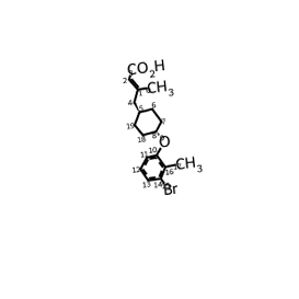 C/C(=C\C(=O)O)C[C@H]1CC[C@H](Oc2cccc(Br)c2C)CC1